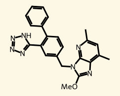 COc1nc2c(C)cc(C)nc2n1Cc1ccc(-c2ccccc2)c(-c2nnn[nH]2)c1